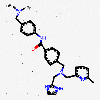 CCCN(CCC)Cc1ccc(NC(=O)c2ccc(CN(Cc3cccc(C)n3)Cc3ncc[nH]3)cc2)cc1